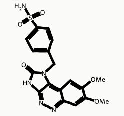 COc1cc2nnc3[nH]c(=O)n(Cc4ccc(S(N)(=O)=O)cc4)c3c2cc1OC